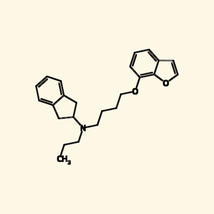 CCCN(CCCCOc1cccc2ccoc12)C1Cc2ccccc2C1